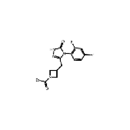 CCC(=O)N1CC(Cc2n[nH]c(=O)n2-c2ccc(Br)cc2F)C1